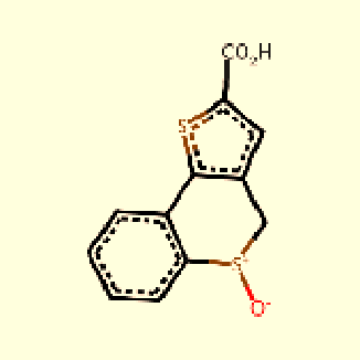 O=C(O)c1cc2c(s1)-c1ccccc1[S+]([O-])C2